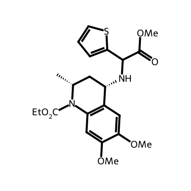 CCOC(=O)N1c2cc(OC)c(OC)cc2[C@@H](NC(C(=O)OC)c2cccs2)C[C@H]1C